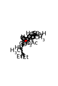 CCN(CC)CCCC(C)NCC(=O)O[C@H]1[C@H](OC(C)=O)C[C@@]23COC[C@]1(C)[C@@H]2CC[C@H]1C3=CC[C@@]2(C)[C@H](C(=O)O)[C@@](C)([C@H](C)C(C)C)CC[C@]12C